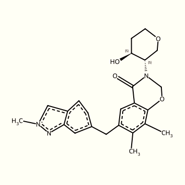 Cc1c(Cc2ccc3cn(C)nc3c2)cc2c(c1C)OCN([C@H]1COCC[C@@H]1O)C2=O